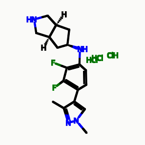 Cc1nn(C)cc1-c1ccc(N[C@H]2C[C@H]3CNC[C@H]3C2)c(F)c1F.Cl.Cl.Cl